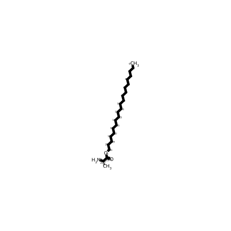 CCCCCCCCCCCCCCCCCCCCCCOC(=O)[C@H](C)N